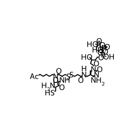 CC(=O)CCCCCNC(=O)C(CSSCCC(=O)NCc1cn(C2CC(O)C(COP(=O)(O)OP(=O)(O)OP(=O)(O)O)O2)c(=O)nc1N)NC(=O)C(=O)[C@@H](N)CS